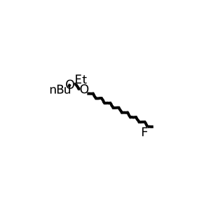 CCCCOC(CC)COCCCCCCCCCCCCCCC(C)F